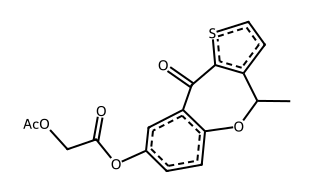 CC(=O)OCC(=O)Oc1ccc2c(c1)C(=O)c1sccc1C(C)O2